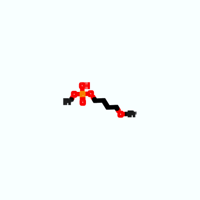 CC(C)OCCCCOP(=O)(O)OC(C)C